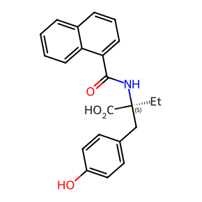 CC[C@@](Cc1ccc(O)cc1)(NC(=O)c1cccc2ccccc12)C(=O)O